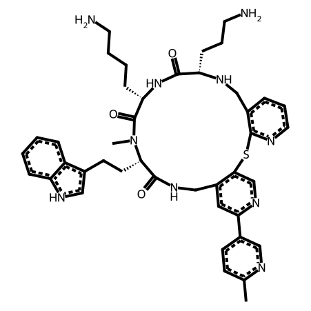 Cc1ccc(-c2cc3c(cn2)Sc2ncccc2CN[C@@H](CCCN)C(=O)N[C@@H](CCCCN)C(=O)N(C)[C@@H](CCc2c[nH]c4ccccc24)C(=O)NC3)cn1